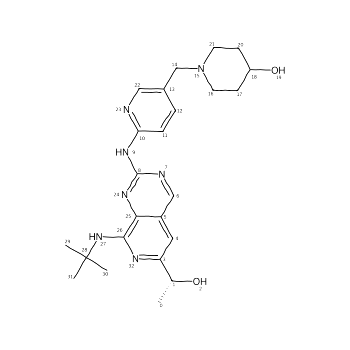 C[C@@H](O)c1cc2cnc(Nc3ccc(CN4CCC(O)CC4)cn3)nc2c(NC(C)(C)C)n1